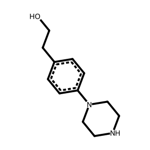 OCCc1ccc(N2CCNCC2)cc1